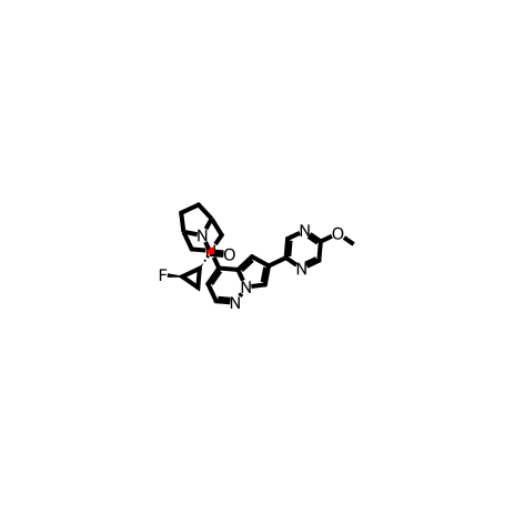 COc1cnc(-c2cc3c(N4CC5CCC(C4)N5C(=O)[C@@H]4C[C@H]4F)ccnn3c2)cn1